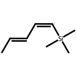 C/C=C/C=[C]\[Si](C)(C)C